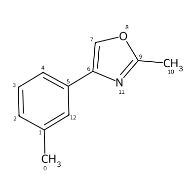 Cc1cccc(-c2coc(C)n2)c1